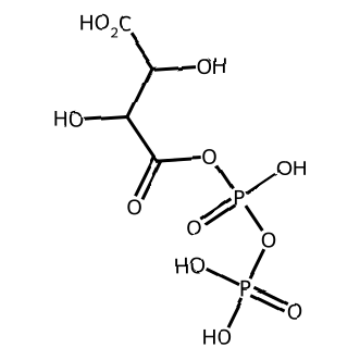 O=C(O)C(O)C(O)C(=O)OP(=O)(O)OP(=O)(O)O